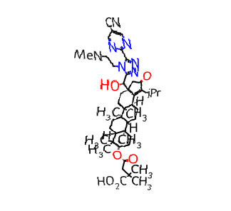 CNCCn1c(-c2ncc(C#N)cn2)nnc1[C@H](O)[C@@]12CC[C@]3(C)[C@H](CC[C@@H]4[C@@]5(C)CC[C@H](OC(=O)CC(C)(C)C(=O)O)C(C)(C)[C@@H]5CC[C@]43C)C1=C(C(C)C)C(=O)C2